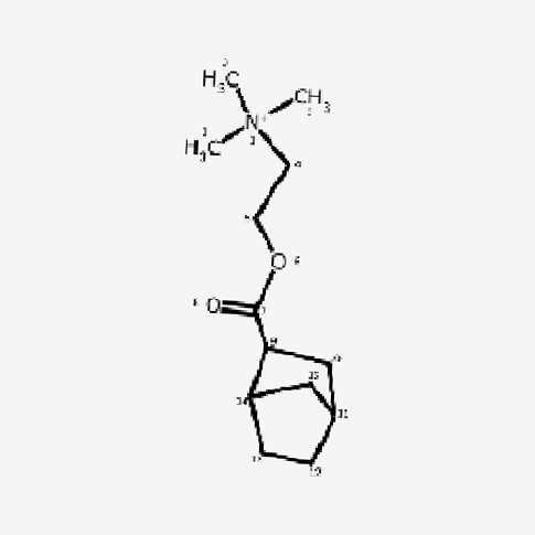 C[N+](C)(C)CCOC(=O)C1CC2CCC1C2